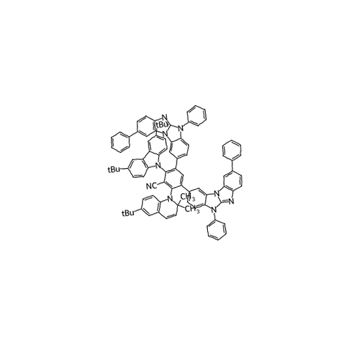 CC(C)(C)c1ccc2c(c1)C=CC(C)(C)N2c1c(-c2ccc3c(c2)n2c4cc(-c5ccccc5)ccc4nc2n3-c2ccccc2)cc(-c2ccc3c(c2)n2c4cc(-c5ccccc5)ccc4nc2n3-c2ccccc2)c(-n2c3ccc(C(C)(C)C)cc3c3cc(C(C)(C)C)ccc32)c1C#N